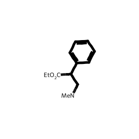 CCOC(=O)C(CNC)c1ccccc1